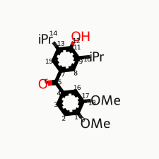 COc1ccc(C(=O)c2cc(C(C)C)c(O)c(C(C)C)c2)cc1OC